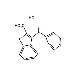 Cl.O=C(O)c1sc2ccccc2c1Nc1ccncc1